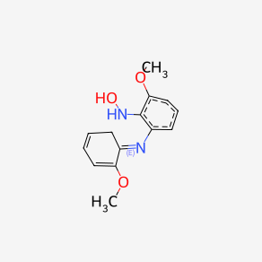 COC1=CC=CC/C1=N\c1cccc(OC)c1NO